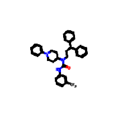 O=C(Nc1cccc(C(F)(F)F)c1)N(CCC(c1ccccc1)c1ccccc1)C1CCN(c2ccccc2)CC1